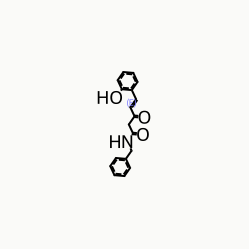 O=C(/C=C/c1ccccc1O)CC(=O)NCc1ccccc1